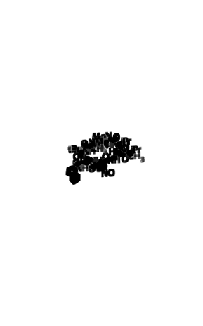 CN[C@@H](C)C(=O)N[C@H](C(=O)N[C@@H](CCNC(=O)c1cc(N=O)cc(C(=O)N[C@H]2C[C@@H](C(=O)N[C@@H]3CCCc4ccccc43)N(C(=O)[C@@H](NC(=O)[C@H](C)NC)C(C)(C)C)C2)c1)C(=O)N[C@H](C)C(C)C)C(C)C